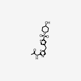 CC(=O)Nc1ncc(Cc2csc(S(=O)(=O)N3CCC(O)CC3)c2)s1